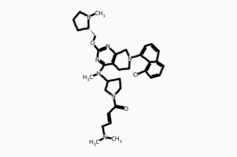 CN(C)C/C=C/C(=O)N1CCC(N(C)c2nc(OC[C@@H]3CCCN3C)nc3c2CCN(c2cccc4cccc(Cl)c24)C3)C1